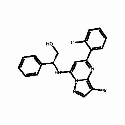 OC[C@@H](Nc1cc(-c2ccccc2Cl)nc2c(Br)cnn12)c1ccccc1